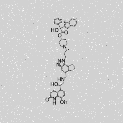 O=C(OC1CCN(CCCn2nnc3cc(CNC[C@H](O)c4ccc(O)c5[nH]c(=O)ccc45)c4c(c32)CCC4)CC1)[C@@](O)(c1cccs1)c1cc2ccccc2s1